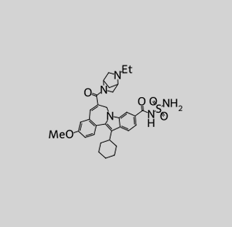 CCN1CC2CC1CN2C(=O)C1=Cc2cc(OC)ccc2-c2c(C3CCCCC3)c3ccc(C(=O)NS(N)(=O)=O)cc3n2C1